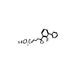 O=C(O)CCCCC(=O)c1cccc(-c2ccccc2)c1F